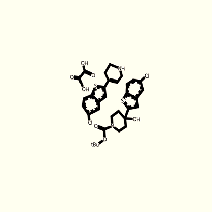 CC(C)(C)OC(=O)N1CCC(O)(c2cc3cc(Cl)ccc3s2)CC1.Clc1ccc2sc(C3=CCNCC3)cc2c1.O=C(O)C(=O)O